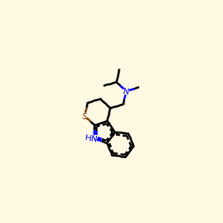 CC(C)N(C)CC1CCSc2[nH]c3ccccc3c21